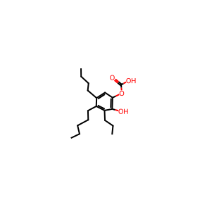 CCCCCc1c(CCCC)cc(OC(=O)O)c(O)c1CCC